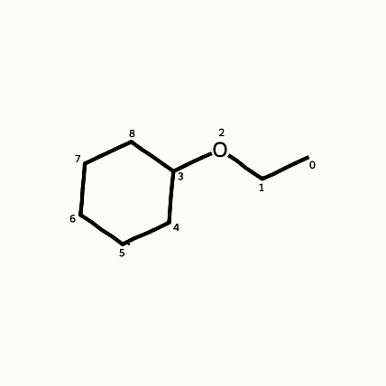 CCOC1C[CH]CCC1